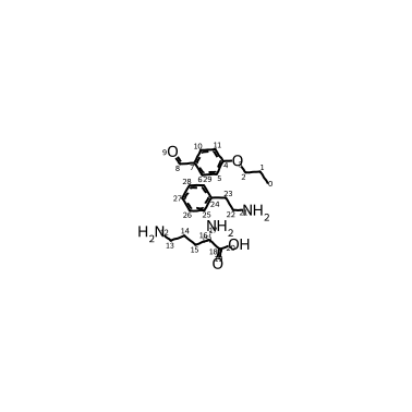 CCCOc1ccc(C=O)cc1.NCCC[C@H](N)C(=O)O.NCCc1ccccc1